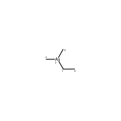 C[CH][As](C)C